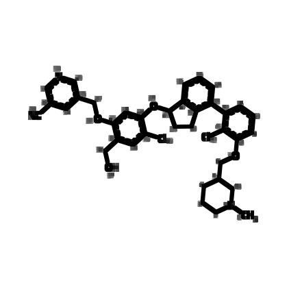 CN1CCCC(COc2cccc(-c3cccc4c3CCC4Oc3cc(OCc4cncc(C#N)c4)c(CO)cc3Cl)c2Cl)C1